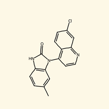 Cc1ccc2[nH]c(=O)n(-c3ccnc4cc(Cl)ccc34)c2c1